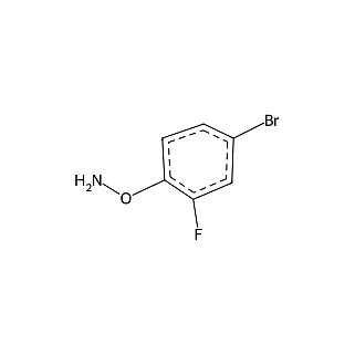 NOc1ccc(Br)cc1F